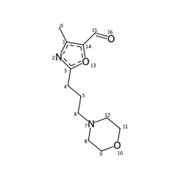 Cc1nc(CCCN2CCOCC2)oc1C=O